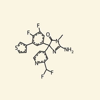 CN1C(=O)C(c2ccnc(C(F)F)c2)(c2cc(F)c(F)c(-c3ccsc3)c2)N=C1N